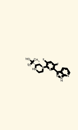 CCC(C)(O)[C@@H]1CN(c2nc(-c3n[nH]c4ncccc34)c(F)cc2F)CCN1